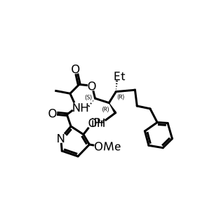 CC[C@H](CCCc1ccccc1)[C@@H](CC(C)C)[C@H](C)OC(=O)C(C)NC(=O)c1nccc(OC)c1O